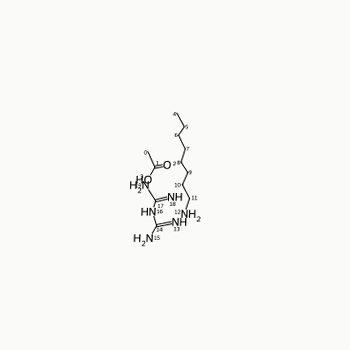 CC(=O)O.CCCCCCCCN.N=C(N)NC(=N)N